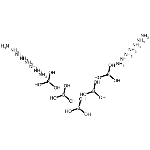 N.N.N.N.N.N.N.N.N.N.N.N.N.N.N.OB(O)O.OB(O)O.OB(O)O.OB(O)O.OB(O)O